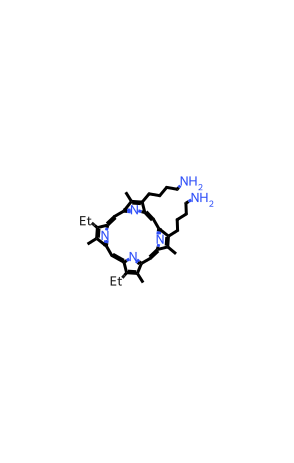 CCC1=C(C)C2=NC1=CC1=NC(=CC3=NC(=CC4=NC(=C2)C(C)=C4CCCCN)C(CCCCN)=C3C)C(CC)=C1C